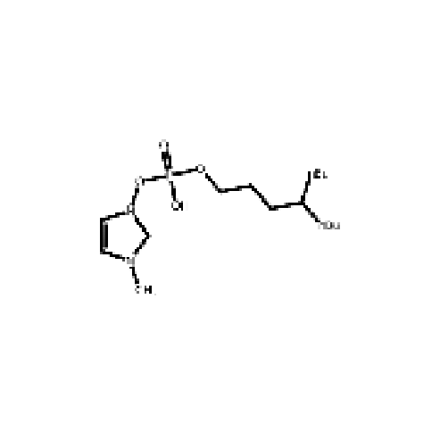 CCCCC(CCCC)CCCOP(=O)(O)ON1C=CN(C)C1